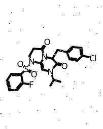 CC(C)N1C=C2N(C(=O)CCN2S(=O)(=O)c2ccccc2F)C(Cc2ccc(Cl)cc2)C1=O